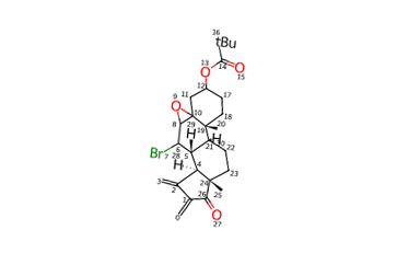 C=C1C(=C)[C@H]2[C@@H]3C(Br)C4OC45CC(OC(=O)C(C)(C)C)CC[C@]5(C)[C@@H]3CC[C@]2(C)C1=O